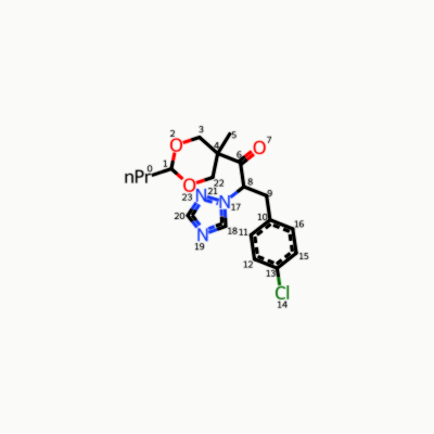 CCCC1OCC(C)(C(=O)C(Cc2ccc(Cl)cc2)n2cncn2)CO1